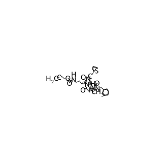 C=C=CCOC(=O)NCCC[C@H]1C(=O)N(CCc2cccs2)C[C@H]2N1C(=O)CN(C)N2C(=O)NCc1ccccc1